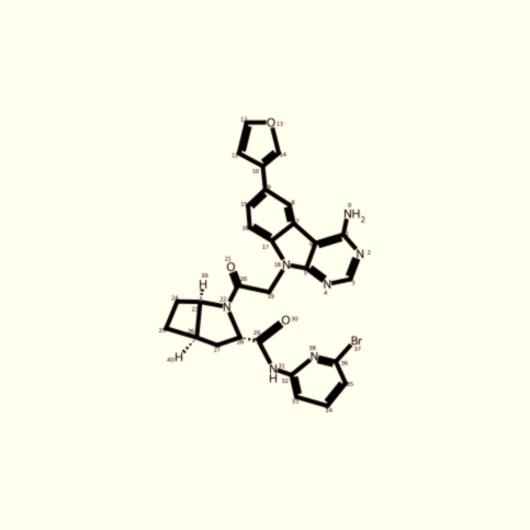 Nc1ncnc2c1c1cc(-c3ccoc3)ccc1n2CC(=O)N1[C@@H]2CC[C@@H]2C[C@H]1C(=O)Nc1cccc(Br)n1